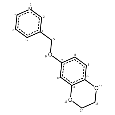 c1cncc(COc2ccc3c(c2)OCCO3)c1